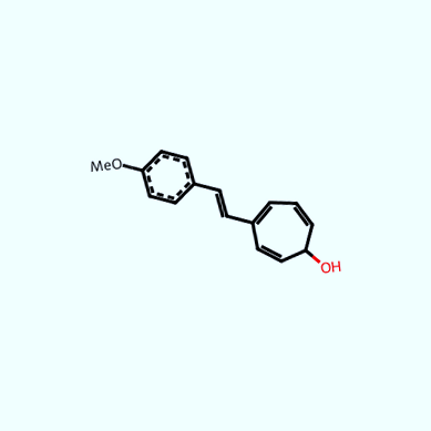 COc1ccc(C=CC2=CC=CC(O)C=C2)cc1